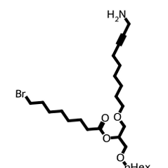 CCCCCCOCC(COCCCCCCC#CCN)OC(=O)CCCCCCCBr